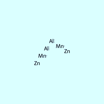 [Al].[Al].[Mn].[Mn].[Zn].[Zn]